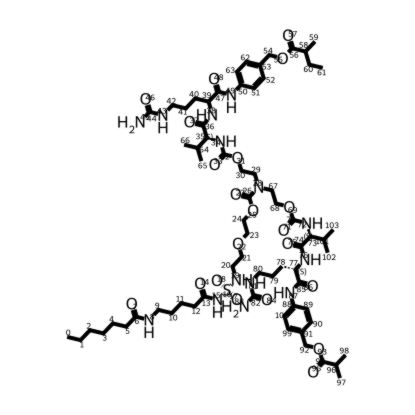 CCCCCCC(=O)NCCCCC(=O)NS(=O)(=O)NCCOCCOC(=O)N(CCOC(=O)N[C@H](C(=O)NC(CCCNC(N)=O)C(=O)Nc1ccc(COC(=O)C(C)CC)cc1)C(C)C)CCOC(=O)N[C@H](C(=O)N[C@@H](CCCNC(N)=O)C(=O)Nc1ccc(COC(=O)C(C)C)cc1)C(C)C